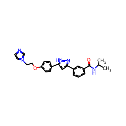 CC(C)NC(=O)c1cccc(-c2cc(-c3ccc(OCCn4ccnc4)cc3)[nH]n2)c1